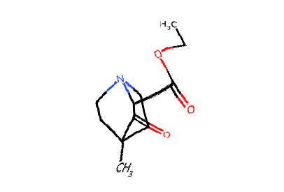 CCOC(=O)C1C(=O)C2(C)CCN1CC2